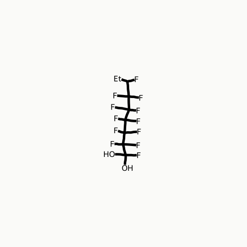 CCC(F)C(F)(F)C(F)(F)C(F)(F)C(F)(F)C(F)(F)C(O)(O)F